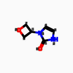 O=c1[nH]ccn1C1COC1